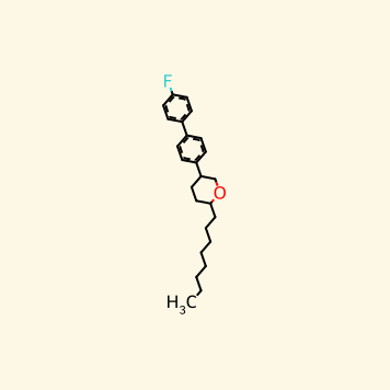 CCCCCCCCC1CCC(c2ccc(-c3ccc(F)cc3)cc2)CO1